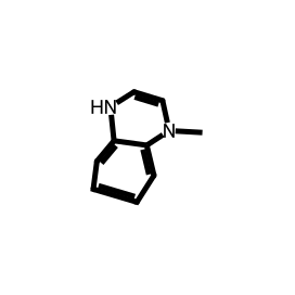 CN1C=CNc2ccccc21